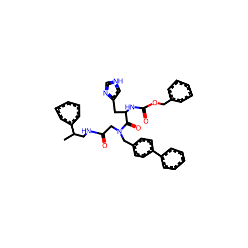 CC(CNC(=O)CN(Cc1ccc(-c2ccccc2)cc1)C(=O)C(Cc1c[nH]cn1)NC(=O)OCc1ccccc1)c1ccccc1